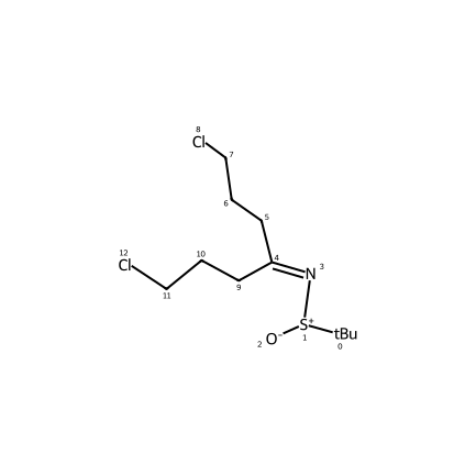 CC(C)(C)[S+]([O-])N=C(CCCCl)CCCCl